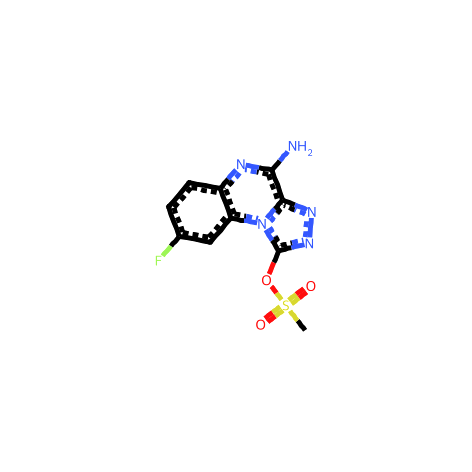 CS(=O)(=O)Oc1nnc2c(N)nc3ccc(F)cc3n12